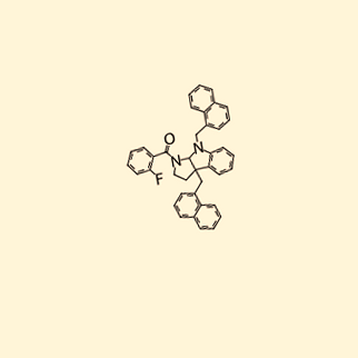 O=C(c1ccccc1F)N1CCC2(Cc3cccc4ccccc34)c3ccccc3N(Cc3cccc4ccccc34)C12